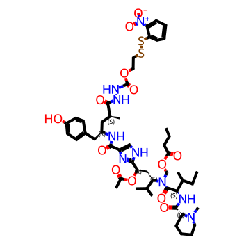 CCCC(=O)OCN(C(=O)[C@@H](NC(=O)[C@H]1CCCCN1C)C(C)CC)[C@@H](C[C@@H](OC(C)=O)c1nc(C(=O)N[C@@H](Cc2ccc(O)cc2)C[C@H](C)C(=O)NNC(=O)OCCSSc2ccccc2[N+](=O)[O-])c[nH]1)C(C)C